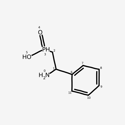 NC(C[PH](=O)O)c1ccccc1